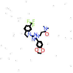 CN(C)C(=O)CCn1nc(N2CCc3ccc(C(F)(F)F)cc32)nc1-c1ccc2c(c1)OCCO2